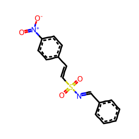 O=[N+]([O-])c1ccc(C=CS(=O)(=O)N=[C]c2ccccc2)cc1